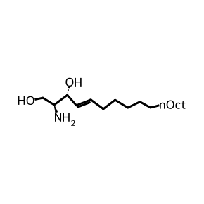 CCCCCCCCCCCCCC=C[C@@H](O)[C@@H](N)CO